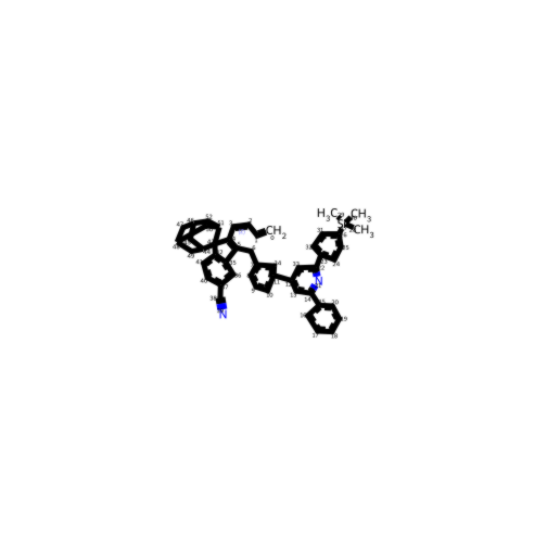 C=C/C=C\C1=C(Cc2cccc(-c3cc(-c4ccccc4)nc(-c4ccc([Si](C)(C)C)cc4)c3)c2)c2cc(C#N)ccc2C12C1CC3CC(C1)CC2C3